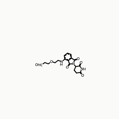 O=CCCOCCNc1cccc2c1C(=O)N(C1CCC(=O)NC1=O)C2=O